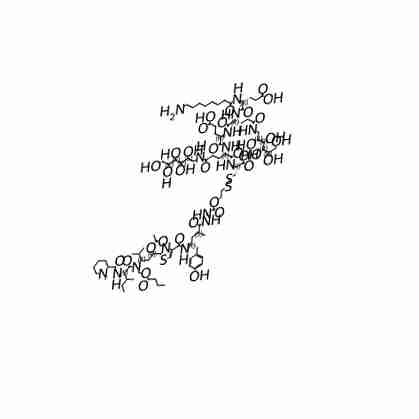 CCCC(=O)OCN(C(=O)[C@@H](NC(=O)C1CCCCN1C)C(C)CC)[C@H](C[C@@H](OC(C)=O)c1nc(C(=O)N[C@@H](Cc2ccc(O)cc2)C[C@H](C)C(=O)NNC(=O)OCCSSC[C@H](NC(=O)[C@@H](CCC(=O)NC[C@H](O)[C@@H](O)[C@H](O)[C@H](O)CO)NC(=O)[C@@H](CCC(=O)O)NC(=O)[C@@H](CCC(=O)NC[C@H](O)[C@@H](O)[C@H](O)[C@H](O)CO)NC(=O)[C@@H](CCC(=O)O)NC(=O)CCCCCCCN)C(=O)O)cs1)C(C)C